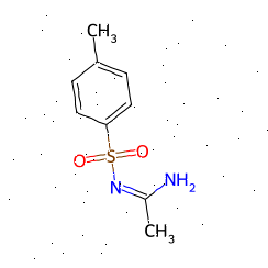 CC(N)=NS(=O)(=O)c1ccc(C)cc1